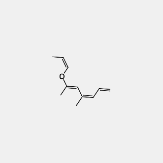 C=C/C=C(C)\C=C(/C)O/C=C\C